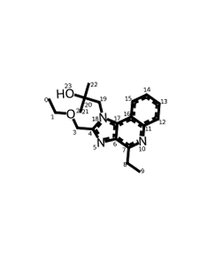 CCOCc1nc2c(CC)nc3ccccc3c2n1CC(C)(C)O